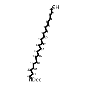 [CH]=CCCCCCCCCCCCCCCCCCCCCCCCCCCCCCCC[CH2]